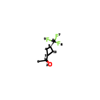 CC(=O)[C@H]1C[C@H](C(F)(F)F)C1